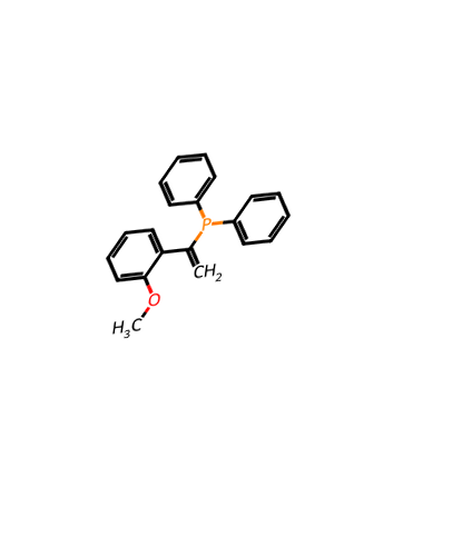 C=C(c1ccccc1OC)P(c1ccccc1)c1ccccc1